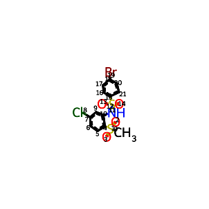 CS(=O)(=O)c1ccc(Cl)cc1NS(=O)(=O)c1ccc(Br)cc1